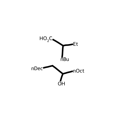 CCCCC(CC)C(=O)O.CCCCCCCCCCCC(O)CCCCCCCC